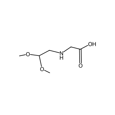 COC(CNCC(=O)O)OC